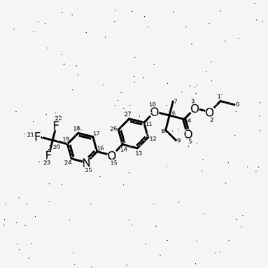 CCOOC(=O)C(C)(CC)Oc1ccc(Oc2ccc(C(F)(F)F)cn2)cc1